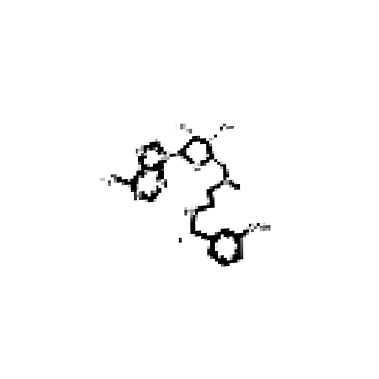 COc1cccc([C@H](C)NCCN(C)C[C@H]2O[C@@H](n3cnc4c(N)ncnc43)[C@H](O)[C@@H]2O)c1